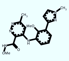 CONC(=O)c1nnc(C)cc1Nc1cccc(-c2ccn(C)n2)c1OC